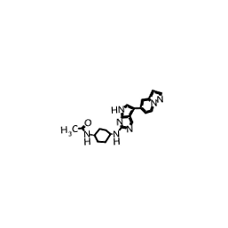 CC(=O)N[C@H]1CC[C@H](Nc2ncc3c(-c4ccn5nccc5c4)c[nH]c3n2)CC1